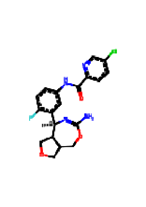 C[C@]1(c2cc(NC(=O)c3ccc(Cl)cn3)ccc2F)N=C(N)OCC2COCC21